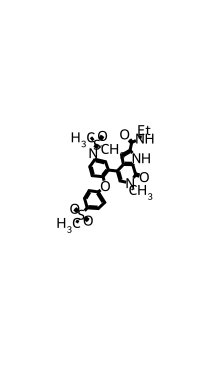 CCNC(=O)c1cc2c(-c3cc(N=S(C)(C)=O)ccc3Oc3ccc(S(C)(=O)=O)cc3)cn(C)c(=O)c2[nH]1